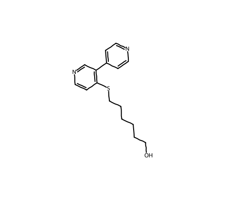 OCCCCCCSc1ccncc1-c1ccncc1